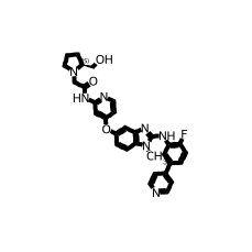 Cn1c(Nc2cc(-c3ccncc3)ccc2F)nc2cc(Oc3ccnc(NC(=O)CN4CCC[C@H]4CO)c3)ccc21